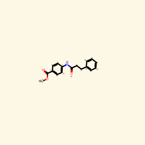 CC(C)(C)OC(=O)c1ccc(NC(=O)CCc2ccccc2)cc1